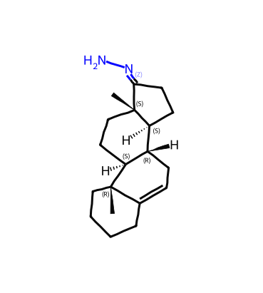 C[C@]12CCCCC1=CC[C@@H]1[C@@H]2CC[C@]2(C)/C(=N\N)CC[C@@H]12